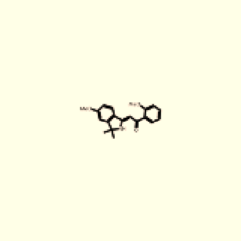 COc1ccc2c(c1)C(C)(C)N/C2=C\C(=O)c1ccccc1OC